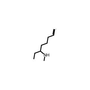 [CH]=CCCCC(CC)NC